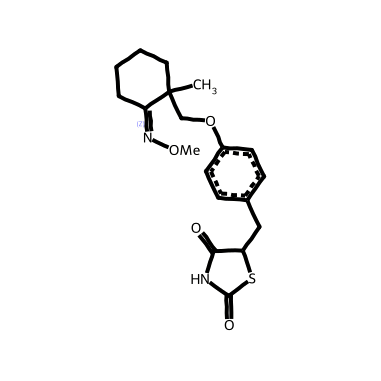 CO/N=C1/CCCCC1(C)COc1ccc(CC2SC(=O)NC2=O)cc1